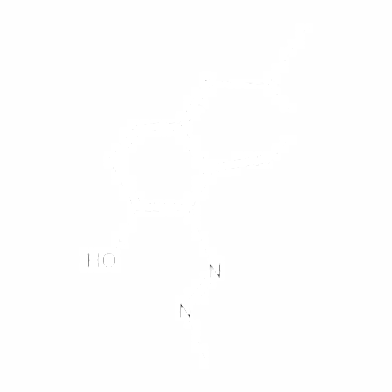 C/C=c1/c(N=NC)c(O)cc/c1=C/C(C)C